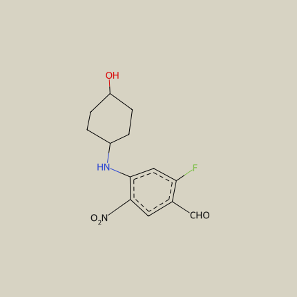 O=Cc1cc([N+](=O)[O-])c(NC2CCC(O)CC2)cc1F